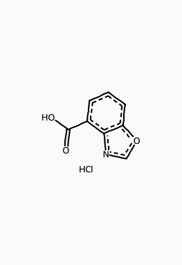 Cl.O=C(O)c1cccc2ocnc12